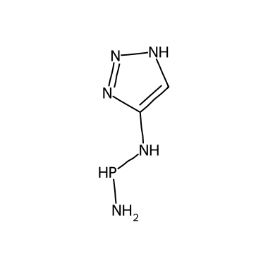 NPNc1c[nH]nn1